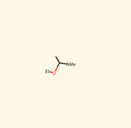 [CH2]C(NC)OCC